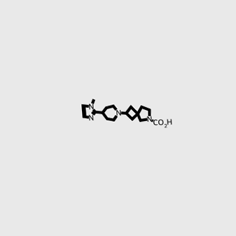 Cn1ccnc1C1CCN(C2CC3(CCN(C(=O)O)C3)C2)CC1